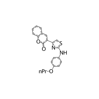 CCCOc1ccc(Nc2nc(-c3cc4ccccc4oc3=O)cs2)cc1